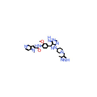 COc1cc(-c2nn(C3CCN(Cc4c[nH]nc4C)CC3)c3ncnc(N)c23)ccc1NC(=O)c1cc2cnccc2n1C